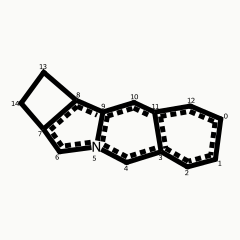 c1ccc2cn3cc4c(c3cc2c1)CC4